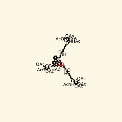 CC(=O)NC1[C@H](OCCCCCCC(=O)NCCCN(CCCN(CCCNC(=O)CCCCCCO[C@@H]2OC(COC(C)=O)[C@H](OC(C)=O)[C@H](OC(C)=O)C2NC(C)=O)C(c2ccccc2)(c2ccccc2)c2ccccc2)C(=O)CCCCCCO[C@@H]2OC(COC(C)=O)[C@H](OC(C)=O)[C@H](OC(C)=O)C2NC(C)=O)OC(COC(C)=O)[C@H](OC(C)=O)[C@@H]1OC(C)=O